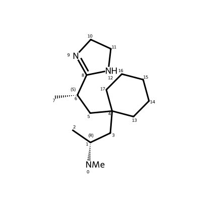 CN[C@H](C)CC1(C[C@H](C)C2=NCCN2)CCCCC1